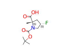 CC(C)(C)OC(=O)N1C[C@@H](F)C[C@@]1(C)C(=O)O